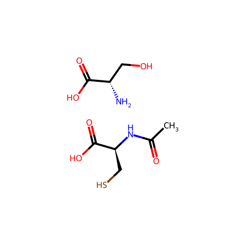 CC(=O)N[C@@H](CS)C(=O)O.N[C@@H](CO)C(=O)O